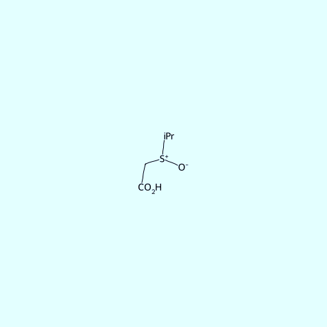 CC(C)[S+]([O-])CC(=O)O